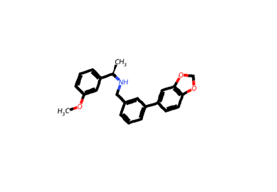 COc1cccc([C@@H](C)NCc2cccc(-c3ccc4c(c3)OCO4)c2)c1